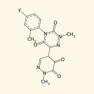 Cc1cc(F)ccc1-n1c(=O)c(C2C=NN(C)C(=O)C2=O)nn(C)c1=O